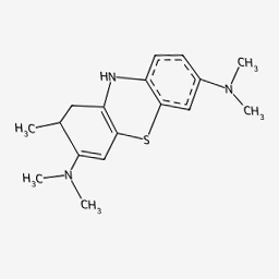 CC1CC2=C(C=C1N(C)C)Sc1cc(N(C)C)ccc1N2